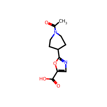 CC(=O)N1CCC(c2ncc(C(=O)O)o2)CC1